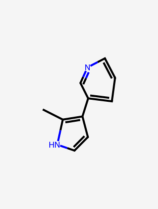 Cc1[nH]ccc1-c1cccnc1